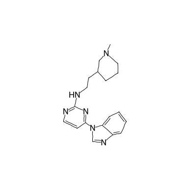 CN1CCCC(CCNc2nccc(-n3cnc4ccccc43)n2)C1